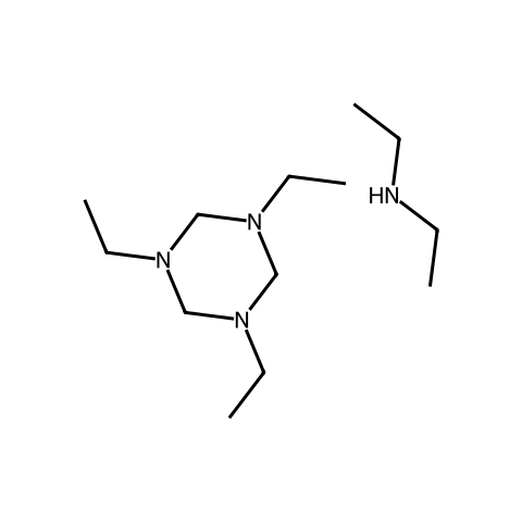 CCN1CN(CC)CN(CC)C1.CCNCC